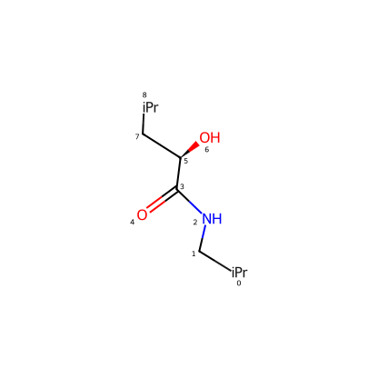 CC(C)CNC(=O)[C@H](O)CC(C)C